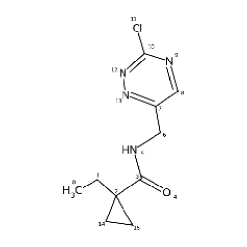 CCC1(C(=O)NCc2cnc(Cl)nn2)CC1